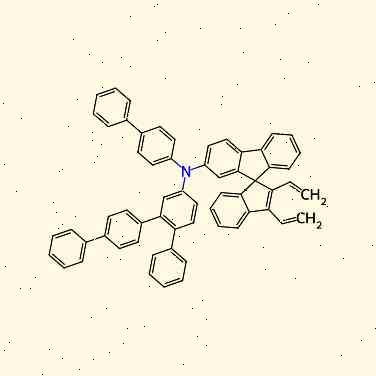 C=CC1=C(C=C)C2(c3ccccc31)c1ccccc1-c1ccc(N(c3ccc(-c4ccccc4)cc3)c3ccc(-c4ccccc4)c(-c4ccc(-c5ccccc5)cc4)c3)cc12